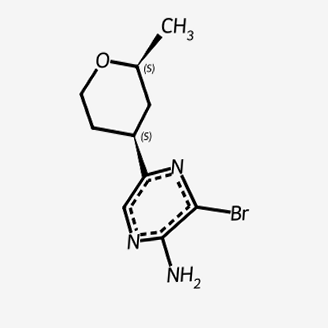 C[C@H]1C[C@@H](c2cnc(N)c(Br)n2)CCO1